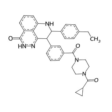 CCc1ccc(C2Nc3cccc4c(=O)[nH]nc(c34)C2c2cccc(C(=O)N3CCN(C(=O)C4CC4)CC3)c2)cc1